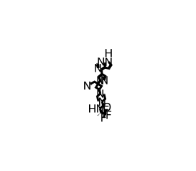 C[C@H](NC(=O)N1CCN(C2CC(CC#N)(n3cc(-c4ncnc5[nH]ccc45)cn3)C2)CC1)C(F)(F)F